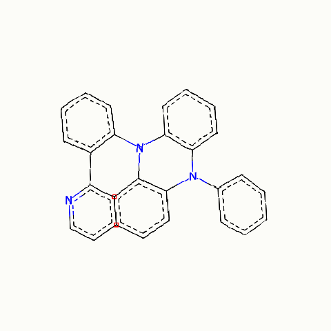 c1ccc(N2c3ccccc3N(c3ccccc3-c3ccccn3)c3ccccc32)cc1